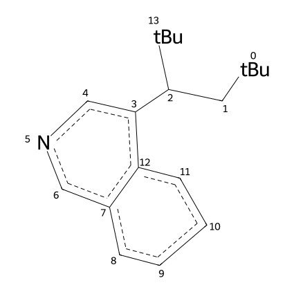 CC(C)(C)CC(c1cncc2ccccc12)C(C)(C)C